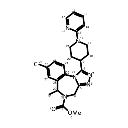 COC(=O)N1Cc2nnc(C3CCN(c4ccccn4)CC3)n2-c2ccc(Cl)cc2C1C